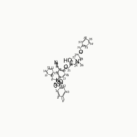 Cc1ccc(S(=O)(=O)N(Cc2ccccc2)c2ccc(OC[C@H](O)C[N+](C)(C)CCOCc3ccccc3)c(C#N)c2)cc1